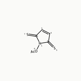 CC(=O)ON1C(=S)C=CC1=S